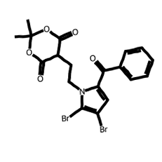 CC1(C)OC(=O)C(CCn2c(C(=O)c3ccccc3)cc(Br)c2Br)C(=O)O1